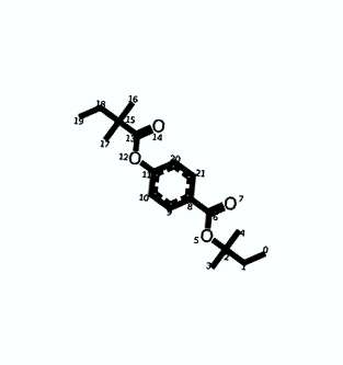 CCC(C)(C)OC(=O)c1ccc(OC(=O)C(C)(C)CC)cc1